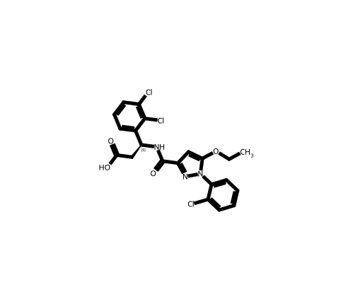 CCOc1cc(C(=O)N[C@@H](CC(=O)O)c2cccc(Cl)c2Cl)nn1-c1ccccc1Cl